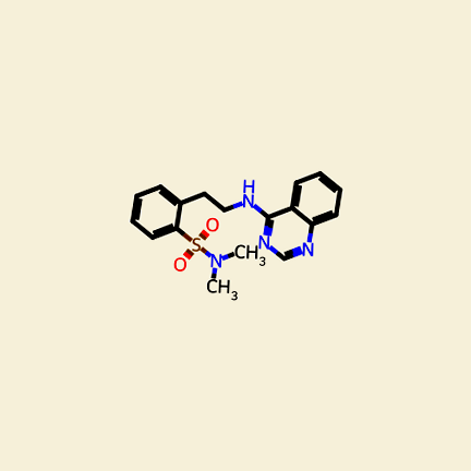 CN(C)S(=O)(=O)c1ccccc1CCNc1ncnc2ccccc12